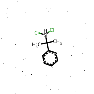 CC(C)(c1ccccc1)[SiH](Cl)Cl